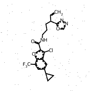 C=CC(CCCNC(=O)c1oc2c(C(F)(F)F)cc(C3CC3)cc2c1Cl)c1nnco1